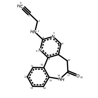 C#CCNc1ncc2c(n1)-c1ccccc1NC(=O)C2